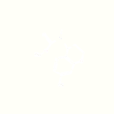 CN(C(=O)OC(C)(C)C)C1CCOc2cc(C#N)ccc21